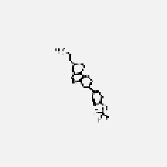 CCCC1CCc2c(ccc3c2CCC(c2ccc(OC(F)(F)F)cc2)C3)C1